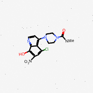 CNC(=O)N1CCN(c2ccnc3c(O)c([N+](=O)[O-])cc(Cl)c23)CC1